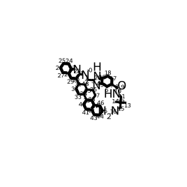 CN(Cc1nc2cc(C(=O)NCC(C)(C)CN)ccc2[nH]1)c1nc2ccccc2cc1C1C=CC2=C(CCc3c2ccc2ccccc32)C1